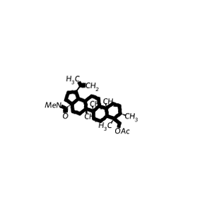 C=C(C)[C@@H]1CC[C@]2(C(=O)NC)CC[C@]3(C)C(CCC4[C@@]5(C)CC[C@H](C)[C@@](C)(COC(C)=O)C5CC[C@]43C)C12